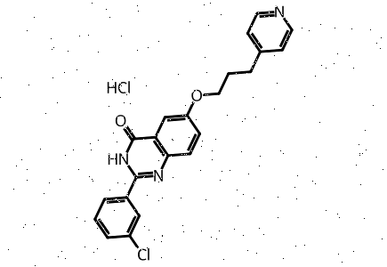 Cl.O=c1[nH]c(-c2cccc(Cl)c2)nc2ccc(OCCCc3ccncc3)cc12